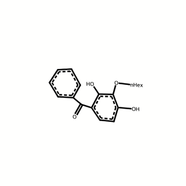 CCCCCCOc1c(O)ccc(C(=O)c2ccccc2)c1O